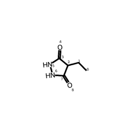 CCC1C(=O)NNC1=O